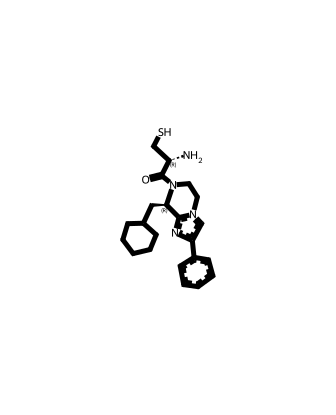 N[C@@H](CS)C(=O)N1CCn2cc(-c3ccccc3)nc2[C@H]1CC1CCCCC1